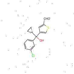 O=Cc1cc(C(O)(c2cccc(Cl)c2)C2CC2)cs1